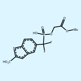 CC(C)(C)OC(=O)COP(=O)(O)C(F)(F)c1ccc2sc(C(=O)O)cc2c1